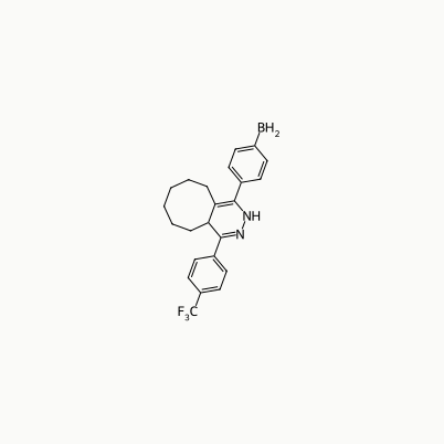 Bc1ccc(C2=C3CCCCCCC3C(c3ccc(C(F)(F)F)cc3)=NN2)cc1